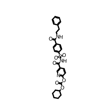 O=C(Oc1ccc(C(=O)NS(=O)(=O)c2ccc(C(=O)NCCc3ccccc3)cc2)cn1)OC1CCCCC1